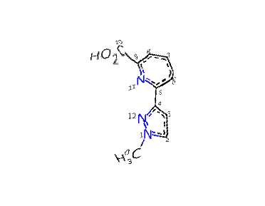 Cn1ccc(-c2cccc(C(=O)O)n2)n1